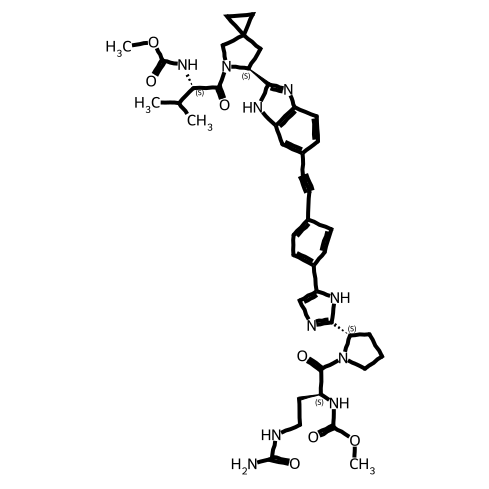 COC(=O)N[C@@H](CCNC(N)=O)C(=O)N1CCC[C@H]1c1ncc(-c2ccc(C#Cc3ccc4nc([C@@H]5CC6(CC6)CN5C(=O)[C@@H](NC(=O)OC)C(C)C)[nH]c4c3)cc2)[nH]1